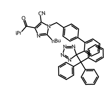 CCCCc1nc(C(=O)C(C)C)c(C#N)n1Cc1ccc(-c2ccccc2C2(C(c3ccccc3)(c3ccccc3)c3ccccc3)N=NN=N2)cc1